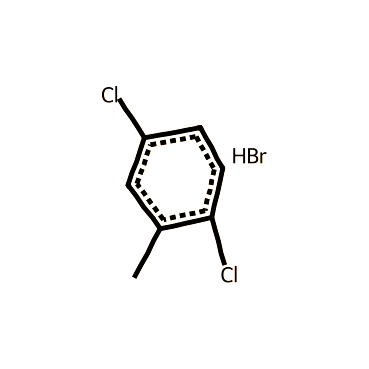 Br.Cc1cc(Cl)ccc1Cl